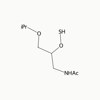 CC(=O)NCC(COC(C)C)OS